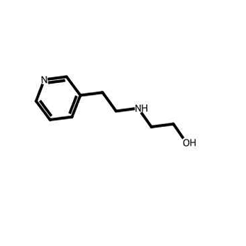 OCCNCCc1cccnc1